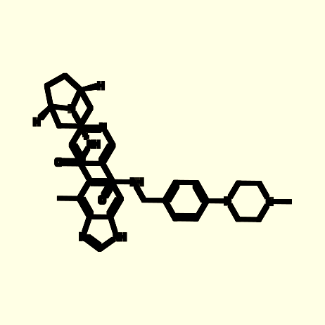 Cc1c(C(=O)N[C@H]2C[C@H]3CC[C@@H](C2)N3c2ccc(C(=O)NCc3ccc(N4CCN(C)CC4)cc3)cn2)ccc2[nH]cnc12